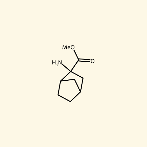 COC(=O)C1(N)CC2CCC1C2